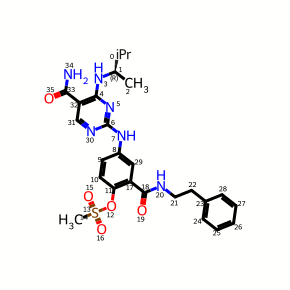 CC(C)[C@@H](C)Nc1nc(Nc2ccc(OS(C)(=O)=O)c(C(=O)NCCc3ccccc3)c2)ncc1C(N)=O